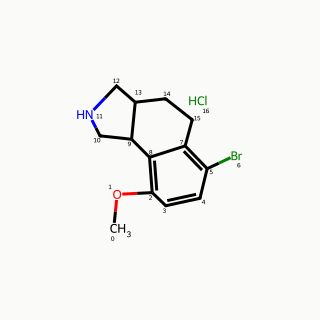 COc1ccc(Br)c2c1C1CNCC1CC2.Cl